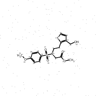 COC(=O)CN(CCc1sccc1CO)S(=O)(=O)c1ccc(OC)cc1